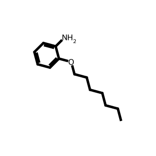 CCCCCCCOc1ccccc1N